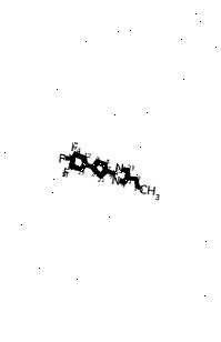 CCCc1cnc(-c2ccc(-c3cc(F)c(F)c(F)c3)cc2)nc1